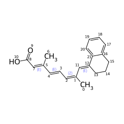 CC(=C/C=C/C(C)=C/C(=O)O)/C=C1\CCCc2ccccc21